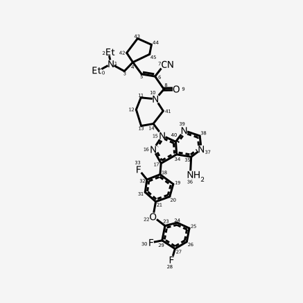 CCN(CC)CC1(C=C(C#N)C(=O)N2CCCC(n3nc(-c4ccc(Oc5cccc(F)c5F)cc4F)c4c(N)ncnc43)C2)CCCC1